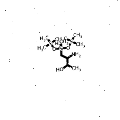 CC(O)C(N)C[Si](C)(O[Si](C)(C)C)O[Si](C)(C)C